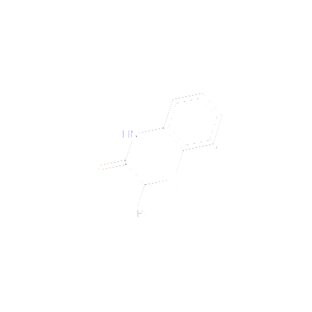 CCC(C)C1Oc2ccccc2NC1=O